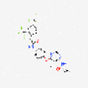 CC(=O)Nc1cc(Oc2ccc(NC(=O)Cc3ccc(C(F)(F)F)cc3C(F)(F)F)cc2)ncn1